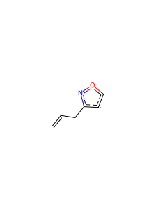 C=CCc1[c]con1